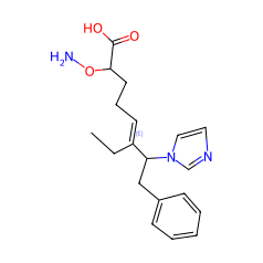 CC/C(=C\CCC(ON)C(=O)O)C(Cc1ccccc1)n1ccnc1